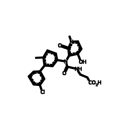 Cc1ccc(N(C(=O)NCCC(=O)O)c2c(O)ccn(C)c2=O)cc1-c1cccc(Cl)c1